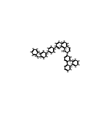 C1=CC(c2ccc3c4ccccc4c4ccccc4c3c2)Nc2c1ccc1ccc(-c3ccc(-c4ccc5oc6ccccc6c5c4)cc3)nc21